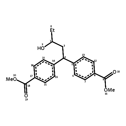 CCC(O)CC(c1ccc(C(=O)OC)cc1)c1ccc(C(=O)OC)cc1